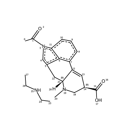 CC(=O)n1cc2c3c(cccc31)C1=C[C@@H](C(=O)O)CN(C)[C@@H]1C2.CCNCC